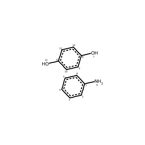 Nc1ccccc1.Oc1ccc(O)cc1